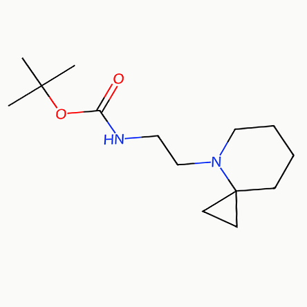 CC(C)(C)OC(=O)NCCN1CCCCC12CC2